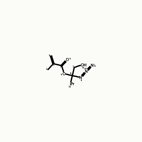 C=C(C)C(=O)OC(CO)(N=[N+]=[N-])C(C)C